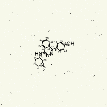 CN1CCCC(Nc2nnc(-c3ccc(O)cc3)c3ccccc23)C1